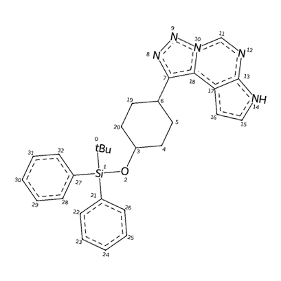 CC(C)(C)[Si](OC1CCC(c2nnn3cnc4[nH]ccc4c23)CC1)(c1ccccc1)c1ccccc1